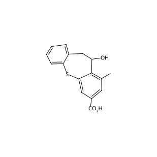 Cc1cc(C(=O)O)cc2c1C(O)Cc1ccccc1S2